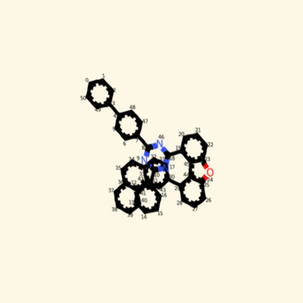 c1ccc(-c2ccc(-c3nc(-c4ccccc4)nc(-c4cccc5oc6cccc(-c7ccc8ccc9ccccc9c8c7)c6c45)n3)cc2)cc1